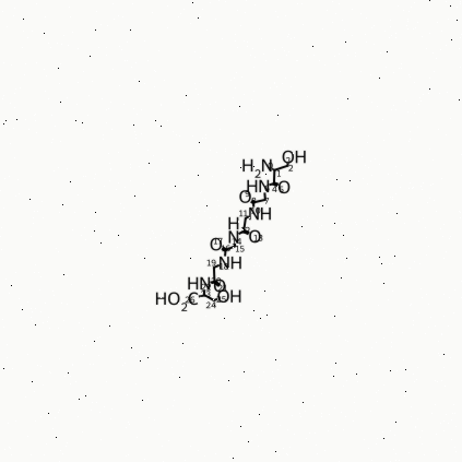 N[C@@H](CO)C(=O)NCC(=O)NCC(=O)NCC(=O)NCC(=O)N[C@@H](CO)C(=O)O